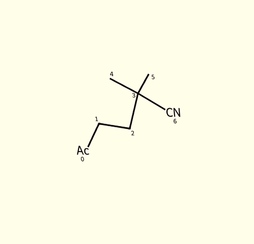 CC(=O)CCC(C)(C)C#N